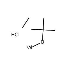 CC.CC(C)(C)[O][Al].Cl